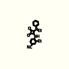 CCc1cc(C#N)ccc1Nc1c(N(CC)c2ccccc2)c(=O)c1=O